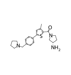 Cc1cc(-c2ccc(CN3CCCC3)cc2)sc1C(=O)N1CC[C@H](N)C1